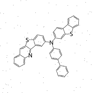 c1ccc(-c2ccc(N(c3ccc4c(c3)sc3ccccc34)c3ccc4sc5cc6ccccc6nc5c4c3)cc2)cc1